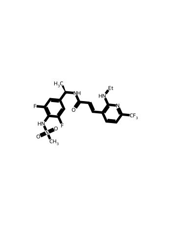 CCNc1nc(C(F)(F)F)ccc1C=CC(=O)N[C@H](C)c1cc(F)c(NS(C)(=O)=O)c(F)c1